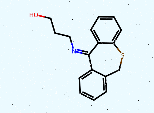 OCCCN=C1c2ccccc2CSc2ccccc21